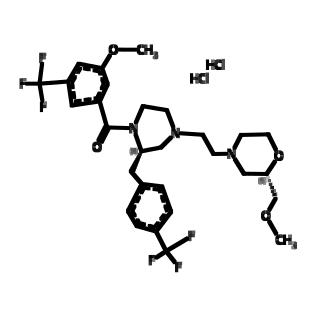 COC[C@@H]1CN(CCN2CCN(C(=O)c3cc(OC)cc(C(F)(F)F)c3)[C@H](Cc3ccc(C(F)(F)F)cc3)C2)CCO1.Cl.Cl